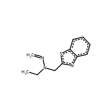 C=NN(CC)Cc1nc2ccccc2s1